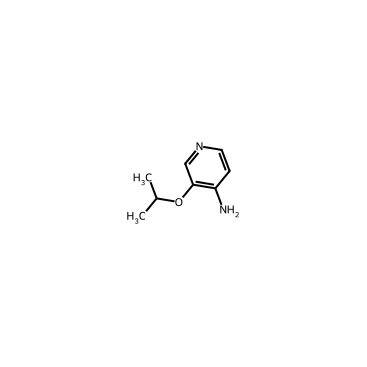 CC(C)Oc1cnccc1N